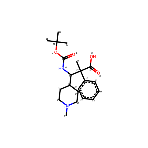 CN1CCC(C(NC(=O)OC(C)(C)C)C(C)(C(=O)O)c2ccccc2)CC1